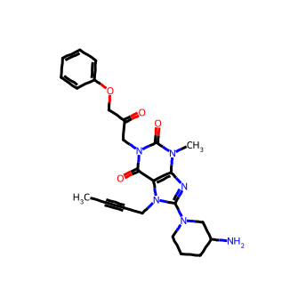 CC#CCn1c(N2CCCC(N)C2)nc2c1c(=O)n(CC(=O)COc1ccccc1)c(=O)n2C